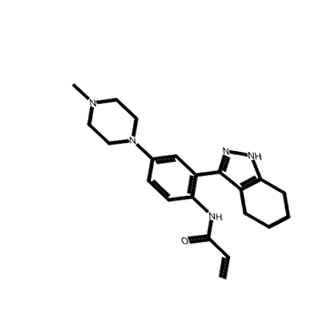 C=CC(=O)Nc1ccc(N2CCN(C)CC2)cc1-c1n[nH]c2c1CCCC2